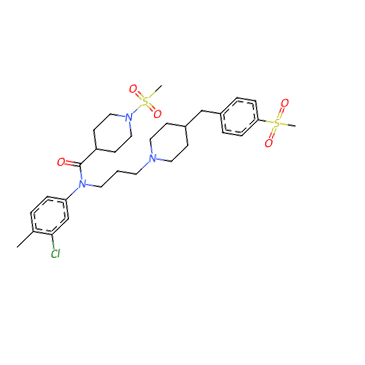 Cc1ccc(N(CCCN2CCC(Cc3ccc(S(C)(=O)=O)cc3)CC2)C(=O)C2CCN(S(C)(=O)=O)CC2)cc1Cl